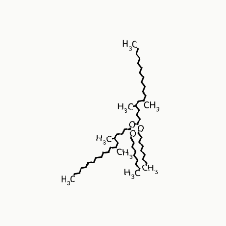 CCCCCCCCCCCCC(C)CC(C)CCCC(OCCCCCCCCC)OC(CCCC(C)CC(C)CCCCCCCCCCCC)OCCCCCCCCC